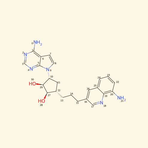 Nc1ncnc2c1ccn2[C@@H]1C[C@H](CCCc2cnc3c(N)cccc3c2)[C@@H](O)[C@H]1O